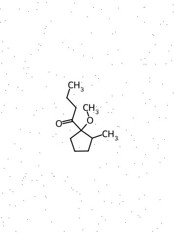 CCCC(=O)C1(OC)CCCC1C